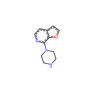 c1cc2ccoc2c(N2CCNCC2)n1